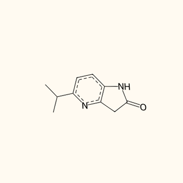 CC(C)c1ccc2c(n1)CC(=O)N2